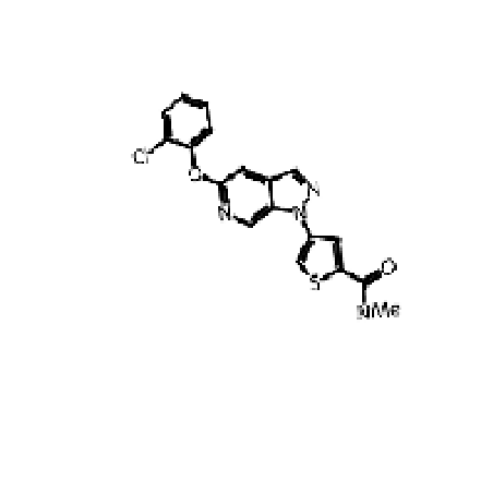 CNC(=O)c1cc(-n2ncc3cc(Oc4ccccc4Cl)ncc32)cs1